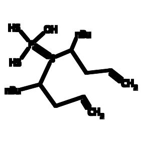 C=CCC(CCCC)S(C(CC=C)CCCC)=P(O)(S)S